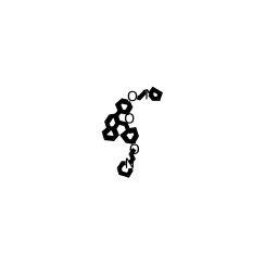 O=C(c1ccc(OCCN2CCCCC2)cc1)c1c(-c2ccc(OCCN3CCCC3)cc2)ccc2ccccc12